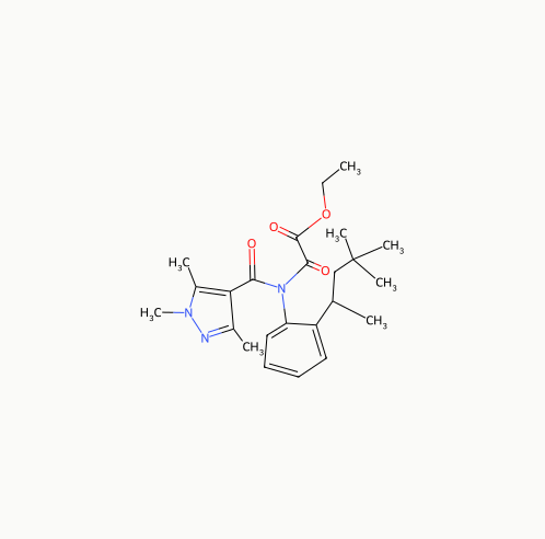 CCOC(=O)C(=O)N(C(=O)c1c(C)nn(C)c1C)c1ccccc1C(C)CC(C)(C)C